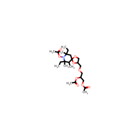 CCC1(C)CC2(OCC(COCC(COC(C)=O)OC(C)=O)O2)C(C)C(C)(CC)N1OC(C)=O